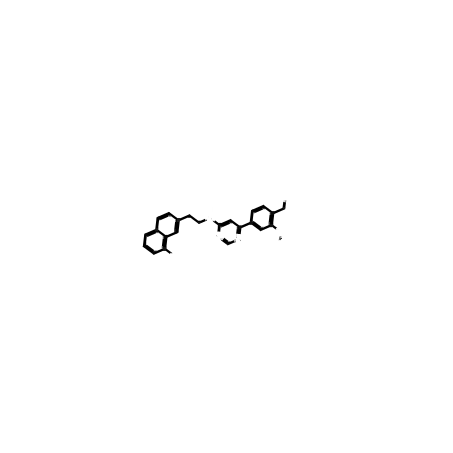 CCOc1cc(-c2cc(NCCc3ccc4cccc(F)c4c3)ncn2)ccc1CC(=O)O